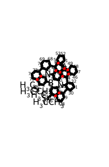 C[Si](C)(C)c1ccc2c(c1)B1c3cc([Si](C)(C)C)ccc3N(c3c(-c4ccccc4)cccc3-c3ccccc3)c3cc(N(c4ccccc4)c4ccccc4)cc(c31)N2c1c(-c2ccccc2)cccc1-c1ccccc1